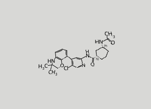 CC(=O)N[C@@H]1CCC[C@H](C(=O)Nc2cc(-c3cccc4c3OCC(C)(C)N4)c(Cl)cn2)C1